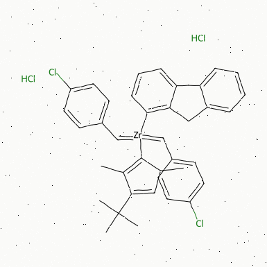 CC1=[C]([Zr](=[CH]c2ccc(Cl)cc2)(=[CH]c2ccc(Cl)cc2)[c]2cccc3c2Cc2ccccc2-3)C(C)C=C1C(C)(C)C.Cl.Cl